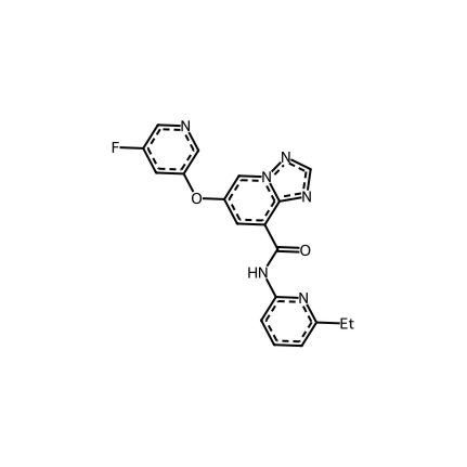 CCc1cccc(NC(=O)c2cc(Oc3cncc(F)c3)cn3ncnc23)n1